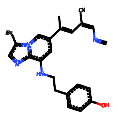 C=N/C=C(C#N)\C=C(/C)c1cc(NCCc2ccc(O)cc2)c2ncc(C(C)CC)n2c1